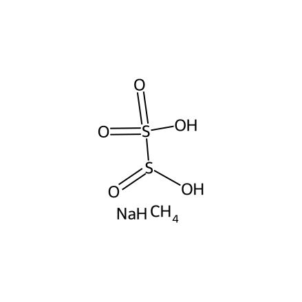 C.O=S(O)S(=O)(=O)O.[NaH]